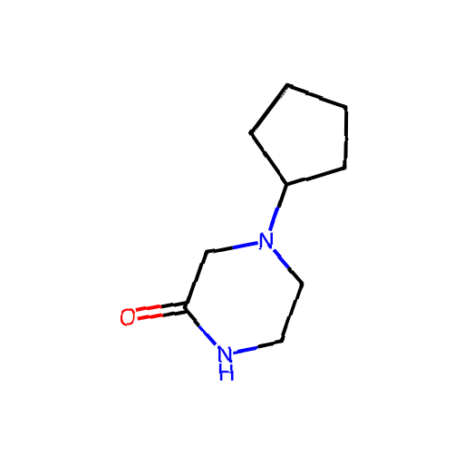 O=C1CN(C2CCCC2)CCN1